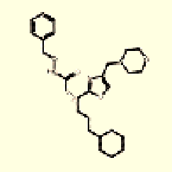 O=C(C[C@@H](CCCC1CCCCC1)c1nc(CN2CCOCC2)co1)NOCc1ccccc1